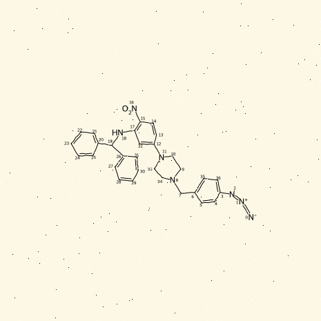 [N-]=[N+]=Nc1ccc(CN2CCN(c3ccc([N+](=O)[O-])c(NC(c4ccccc4)c4ccccc4)c3)CC2)cc1